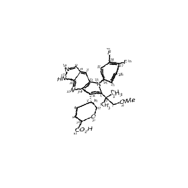 COCC(C)(C)c1c([C@H]2CCC(C(=O)O)OC2)c2nc3[nH]ncc3cc2n1-c1ccc(F)c(F)c1